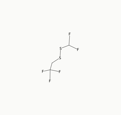 FC(F)SSCC(F)(F)F